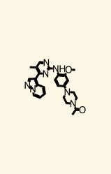 COc1cc(N2CCN(C(C)=O)CC2)ccc1Nc1ncc(C)c(-c2cnn3ccccc23)n1